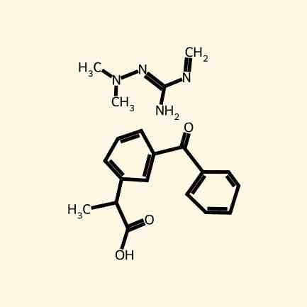 C=NC(N)=NN(C)C.CC(C(=O)O)c1cccc(C(=O)c2ccccc2)c1